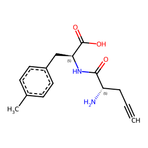 C#CC[C@H](N)C(=O)N[C@@H](Cc1ccc(C)cc1)C(=O)O